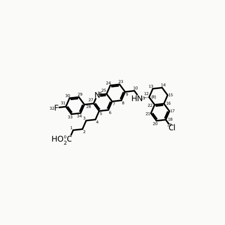 O=C(O)CCCCc1cc2cc(CN[C@@H]3CCCc4cc(Cl)ccc43)ccc2nc1-c1ccc(F)cc1